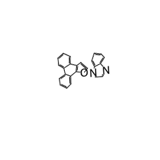 c1ccc2c(c1)c1ccccc1c1occc21.c1ccc2nccnc2c1